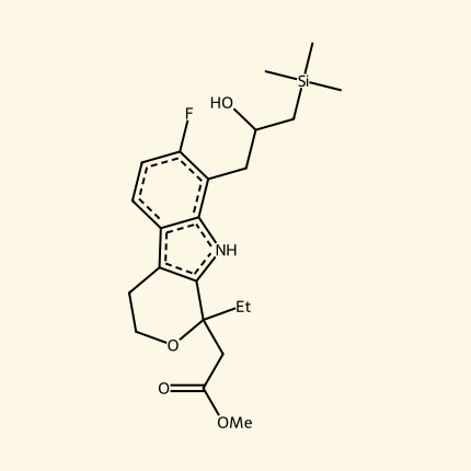 CCC1(CC(=O)OC)OCCc2c1[nH]c1c(CC(O)C[Si](C)(C)C)c(F)ccc21